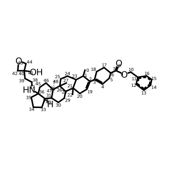 CC1C(C2=CCC(C(=O)OCc3ccccc3)CC2)=CCC2(C)C1CCC1(C)C2CCC2[C@H]3CCCC3(NCCC3(O)COC3)CC[C@]21C